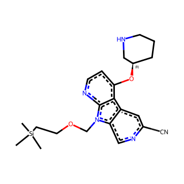 C[Si](C)(C)CCOCn1c2cnc(C#N)cc2c2c(O[C@@H]3CCCNC3)ccnc21